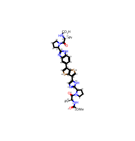 COC(=O)N[C@H](C(=O)N1CCCC1c1ncc(-c2csc3c(-c4ccc5[nH]c(C6CCCN6C(=O)[C@H](NC(=O)O)C(C)C)nc5c4)csc23)[nH]1)C(C)C